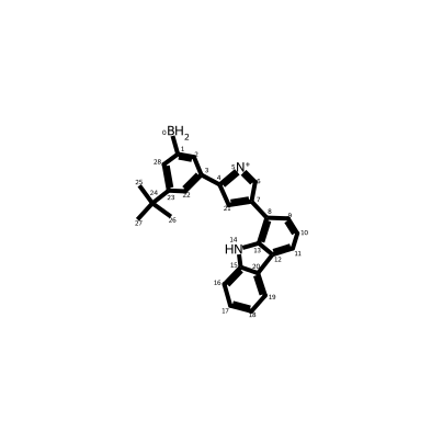 Bc1cc(C2=[N+]=CC(c3cccc4c3[nH]c3ccccc34)=C2)cc(C(C)(C)C)c1